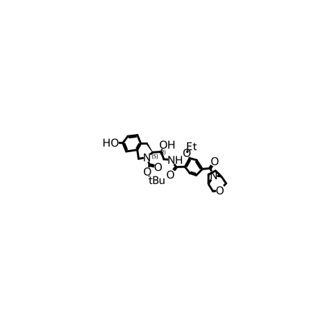 CCOc1cc(C(=O)N2C3CCC2COC3)ccc1C(=O)NC[C@@H](O)[C@@H]1Cc2ccc(O)cc2CN1C(=O)OC(C)(C)C